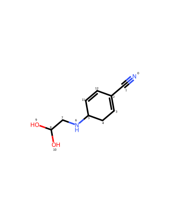 N#CC1=CCC(NCC(O)O)C=C1